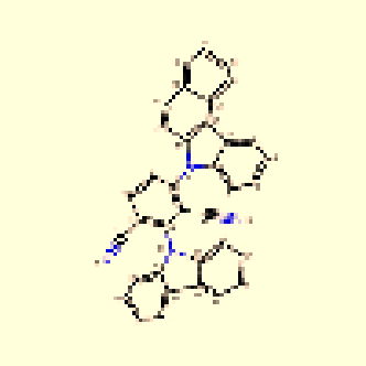 N#Cc1ccc(-n2c3ccccc3c3c4ccccc4ccc32)c(C#N)c1-n1c2ccccc2c2ccccc21